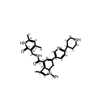 CC1=CN(C(C)C)C2CC(c3ccc(C4CCNCC4)nc3)=CC(C(=O)NCc3c(C)cc(C)[nH]c3=O)=C12